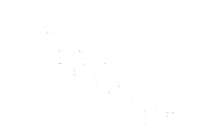 CCCCCCOc1cnc(-c2ccc(OC(=O)C(C)OCCCCC)cc2)nc1